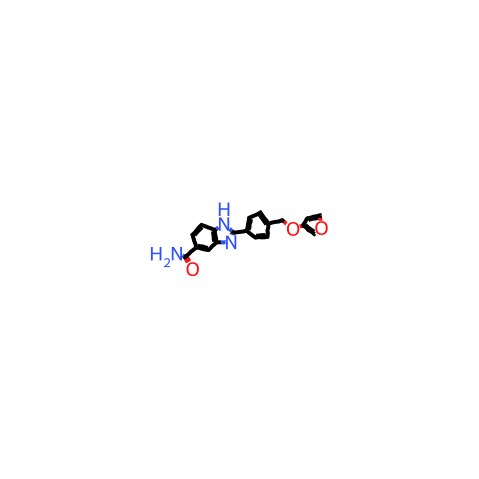 NC(=O)c1ccc2[nH]c(-c3ccc(COc4ccoc4)cc3)nc2c1